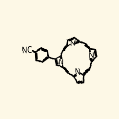 N#Cc1ccc(C2=CC3=CC4=NC(=CC5=NC(=CC6=NC(=CC2=N3)C=C6)C=C5)C=C4)cc1